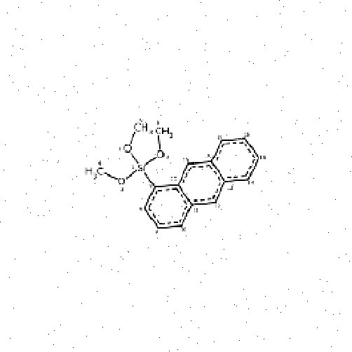 CO[Si](OC)(OC)c1cccc2cc3ccccc3cc12